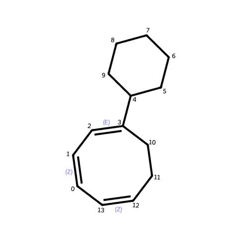 C1=C\C=C(\C2CCCCC2)CC\C=C/1